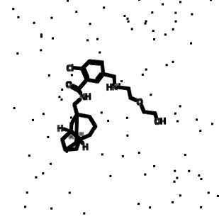 O=C(NCC12CCC[C@@H]3CC(C[C@@H]3C1)C2)c1cc(CNCCOCCO)ccc1Cl